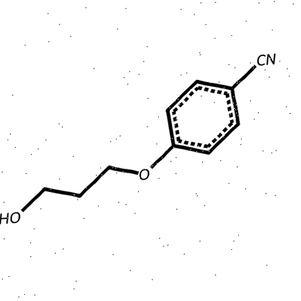 N#Cc1ccc(OCCCO)cc1